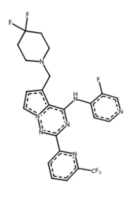 Fc1cnccc1Nc1nc(-c2cccc(C(F)(F)F)n2)nn2ccc(CN3CCC(F)(F)CC3)c12